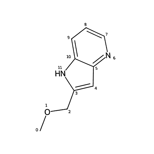 COCc1cc2ncccc2[nH]1